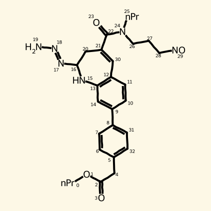 CCCOC(=O)Cc1ccc(-c2ccc3c(c2)NC(N=NN)CC(C(=O)N(CCC)CCCN=O)=C3)cc1